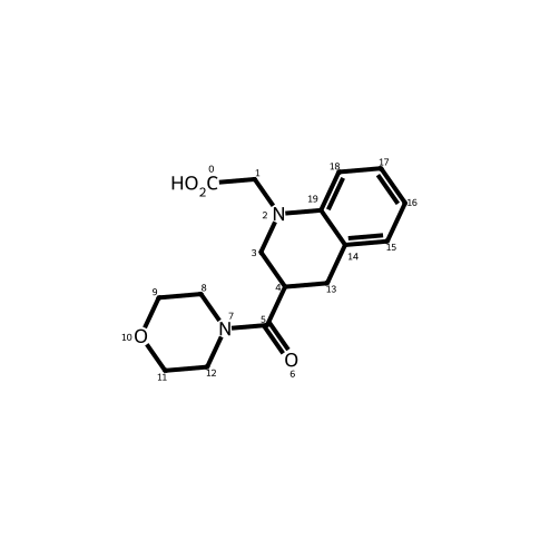 O=C(O)CN1CC(C(=O)N2CCOCC2)Cc2ccccc21